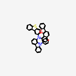 c1ccc(-n2c3ccccc3c3cccc(N(c4ccc5sc6ccccc6c5c4)c4cccc5ccc6c7ccccc7oc6c45)c32)cc1